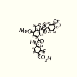 COc1cc(C(=O)Nc2ccc(C(=O)O)c(F)c2)cc2c1CCN2S(=O)(=O)c1cccc(C(F)(F)F)c1